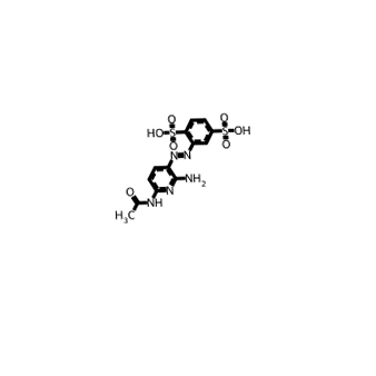 CC(=O)Nc1ccc(/N=N/c2cc(S(=O)(=O)O)ccc2S(=O)(=O)O)c(N)n1